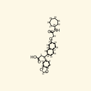 O=C(O)CC(c1ccc2c(c1)OCO2)c1ccc2ccc(OCC(=O)NC3CCCCCC3)cc2c1